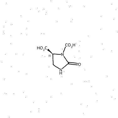 O=C(O)[C@@H]1CNC(=O)N1C(=O)O